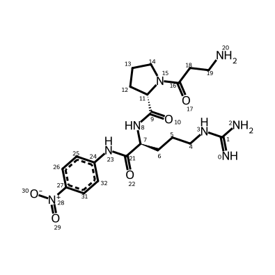 N=C(N)NCCC[C@H](NC(=O)[C@@H]1CCCN1C(=O)CCN)C(=O)Nc1ccc([N+](=O)[O-])cc1